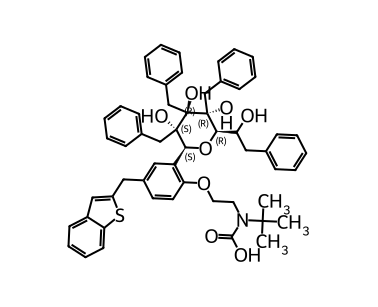 CC(C)(C)N(CCOc1ccc(Cc2cc3ccccc3s2)cc1[C@@H]1O[C@H](C(O)Cc2ccccc2)[C@](O)(Cc2ccccc2)[C@@](O)(Cc2ccccc2)[C@]1(O)Cc1ccccc1)C(=O)O